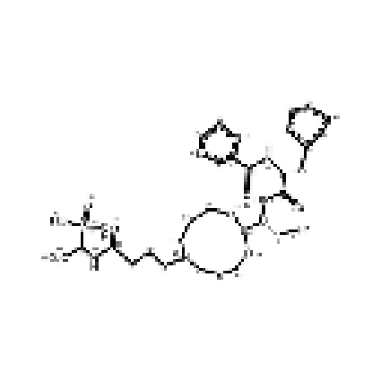 CC(C)C[C@@H](NC(=O)[C@@H](Cc1ccccc1)NC(=O)c1cnccn1)B1OCCCN(CCCC(=O)NC(C(=O)O)P(=O)(O)O)CCCO1